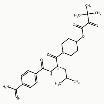 CC(C)C[C@H](NC(=O)c1ccc(C(=N)N)cc1)C(=O)N1CCC(OC(=O)C(=O)C(C)(C)C)CC1